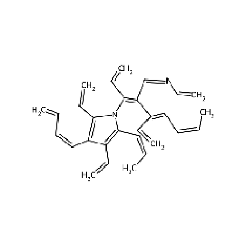 C=C/C=C\c1c(C=C)c(/C=C\C)n(/C(C=C)=C(/C=N\C=C)C(\C=C)=C\C=C/C)c1C=C